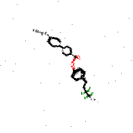 CCCCCCC[C@H]1CC[C@H]([C@H]2CC[C@H](C(=O)Oc3ccc(CCC(F)(F)C(F)(F)C(F)(F)F)cc3)CC2)CC1